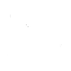 Clc1cc(Cl)c2ccc(Br)cc2n1